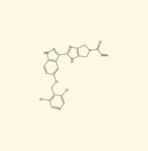 CNC(=O)N1Cc2nc(-c3n[nH]c4ccc(OCc5c(Cl)cncc5Cl)cc34)[nH]c2C1